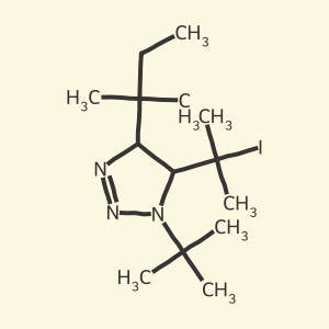 CCC(C)(C)C1N=NN(C(C)(C)C)C1C(C)(C)I